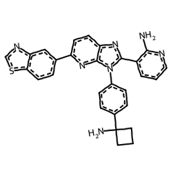 Nc1ncccc1-c1nc2ccc(-c3ccc4scnc4c3)nc2n1-c1ccc(C2(N)CCC2)cc1